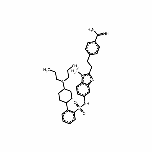 CCCN(CCC)C1CCC(c2ccccc2S(=O)(=O)Nc2ccc3c(c2)nc(CCc2ccc(C(=N)N)cc2)n3C)CC1